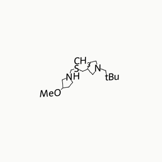 COC1CCN(C[SH](C)CC2CCN(CC(C)(C)C)C2)C1